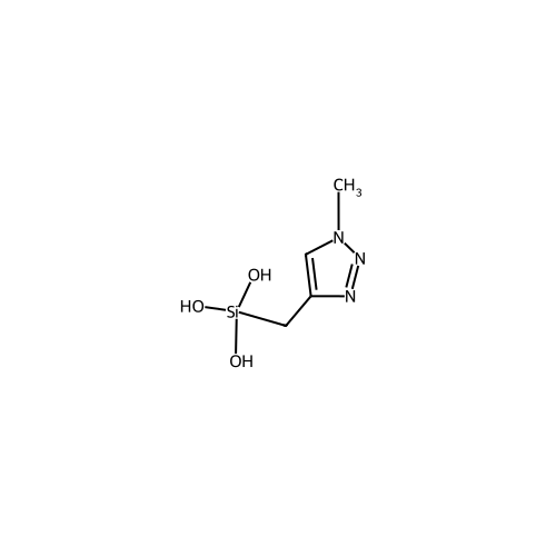 Cn1cc(C[Si](O)(O)O)nn1